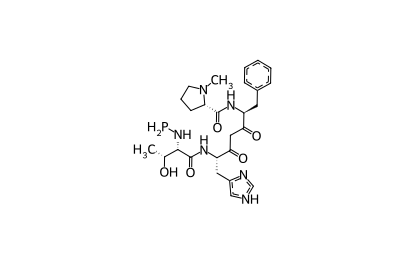 C[C@@H](O)[C@H](NP)C(=O)N[C@@H](Cc1c[nH]cn1)C(=O)CC(=O)[C@H](Cc1ccccc1)NC(=O)[C@@H]1CCCN1C